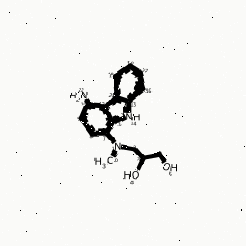 CN(CC(O)CO)c1ccc(N)c2c1[nH]c1ccccc12